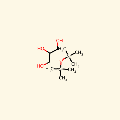 C[Si](C)(C)O[Si](C)(C)C.OCC(O)CO